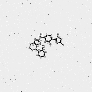 Cc1c[nH]c(-c2ccc(Nc3nc4c(s3)CCCC4c3ccccc3Cl)cc2F)n1